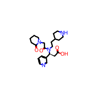 O=C(O)C[C@@H](c1cccnc1)N(CCC1CCNCC1)C(=O)CN1CCCCC1=O